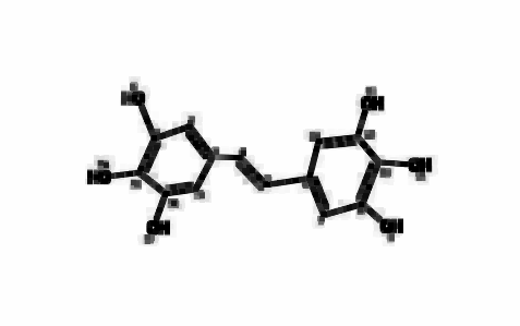 Oc1cc(C=Cc2cc(O)c(O)c(O)c2)cc(O)c1O